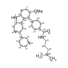 COc1ccc2[nH]c3cnc(-c4cccnc4)cc3c2c1-c1ccc(C(=O)NCCCN(C)C)cc1